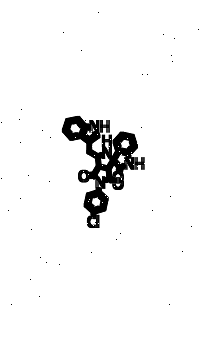 O=C1C2C(Cc3c[nH]c4ccccc34)NC3(C(=O)Nc4ccccc43)C2C(=O)N1c1ccc(Cl)cc1